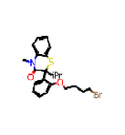 CC(C)C1(c2ccccc2OCCCCBr)Sc2ccccc2N(C)C1=O